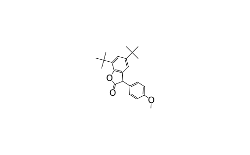 COc1ccc(C2C(=O)Oc3c2cc(C(C)(C)C)cc3C(C)(C)C)cc1